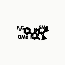 COc1cc(C(F)(F)F)ccc1-c1ncc(C)n2c(N(C3CC3)C3CC3)c(SC)nc12